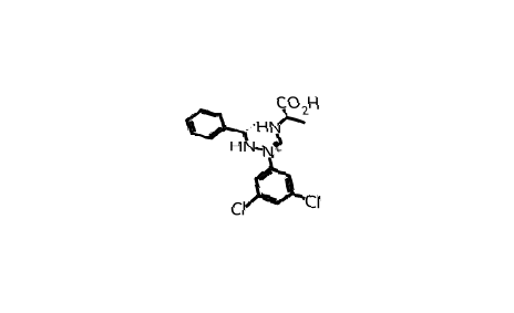 C[C@H](N[N+](=CN[C@H](C)C(=O)O)c1cc(Cl)cc(Cl)c1)c1ccccc1